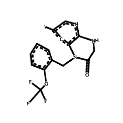 O=C1CNc2ncc(I)cc2N1Cc1ccccc1OC(F)(F)F